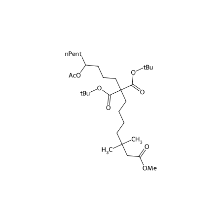 CCCCCC(CCCC(CCCCC(C)(C)CC(=O)OC)(C(=O)OC(C)(C)C)C(=O)OC(C)(C)C)OC(C)=O